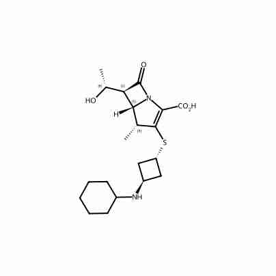 C[C@@H](O)[C@H]1C(=O)N2C(C(=O)O)=C(S[C@H]3C[C@H](NC4CCCCC4)C3)[C@H](C)[C@H]12